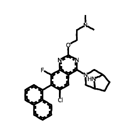 CN(C)CCOc1nc(N2CC3CCC(C2)N3)c2cc(Cl)c(-c3cccc4ccccc34)c(F)c2n1